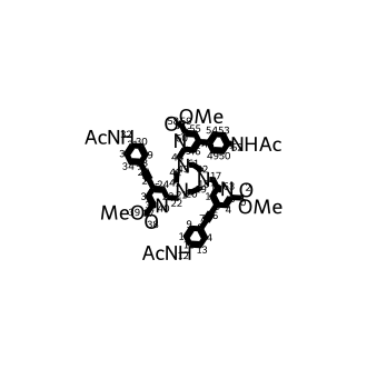 COC(=O)c1cc(C#Cc2ccc(NC(C)=O)cc2)cc(CN2CCN(Cc3cc(C#Cc4ccc(NC(C)=O)cc4)cc(C(=O)OC)n3)CCN(Cc3cc(-c4ccc(NC(C)=O)cc4)cc(C(=O)OC)n3)CC2)n1